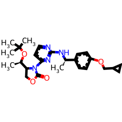 C[C@H](Nc1nccc(N2C(=O)OCC2[C@@H](C)OC(C)(C)C)n1)c1ccc(OCC2CC2)cc1